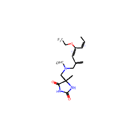 C=C(/C=C(\C=C/C)OCC(F)(F)F)CN(C=O)CC1(C)NC(=O)NC1=O